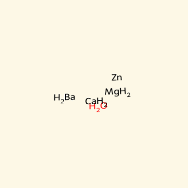 O.[BaH2].[CaH2].[MgH2].[Zn]